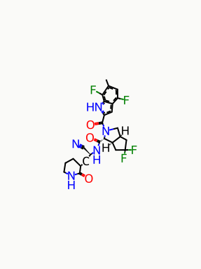 Cc1cc(F)c2cc(C(=O)N3C[C@H]4CC(F)(F)C[C@H]4[C@@H]3C(=O)N[C@H](C#N)C[C@@H]3CCCNC3=O)[nH]c2c1F